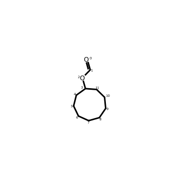 O=COC1CCCCCCCC1